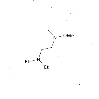 CCN(CC)CCN(C)OC